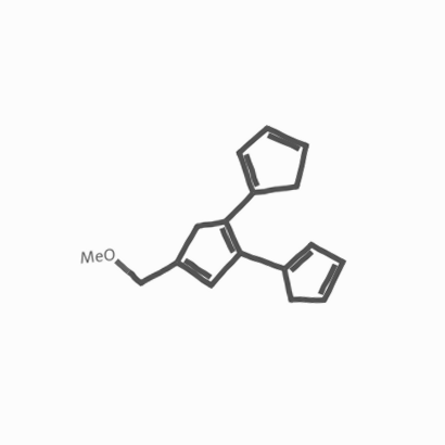 COCC1=CC(C2=CC=CC2)=C(C2=CC=CC2)C1